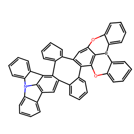 c1ccc2c(c1)Oc1cc3c(c4c1B2c1ccccc1O4)-c1ccccc1-c1cc2c4ccccc4n4c5ccccc5c(c1-c1ccccc1-3)c24